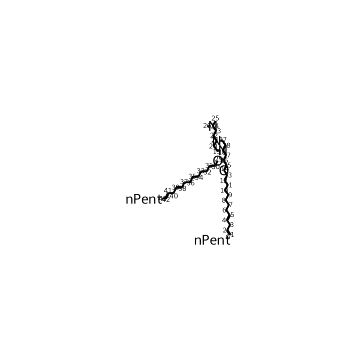 CCCCCC=CCC=CCCCCCCCCOCC(CN1CCN(CCN(C)C)CC1)OCCCCCCCCC=CCC=CCCCCC